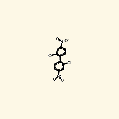 O=[N+]([O-])c1ccc(-c2ccc([N+](=O)[O-])cc2Cl)c(Cl)c1